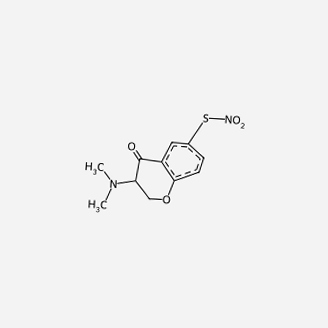 CN(C)C1COc2ccc(S[N+](=O)[O-])cc2C1=O